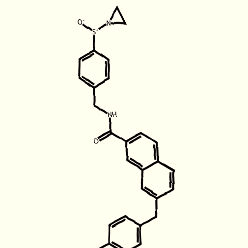 O=C(O)c1ccc(Cc2ccc3ccc(C(=O)NCc4ccc([S+]([O-])N5CC5)cc4)cc3c2)cc1